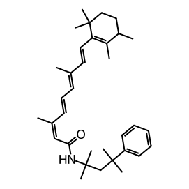 CC1=C(/C=C/C(C)=C/C=C/C(C)=C\C(=O)NC(C)(C)CC(C)(C)c2ccccc2)C(C)(C)CCC1C